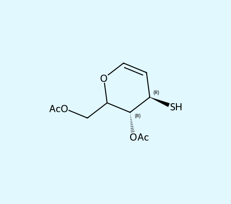 CC(=O)OCC1OC=C[C@@H](S)[C@@H]1OC(C)=O